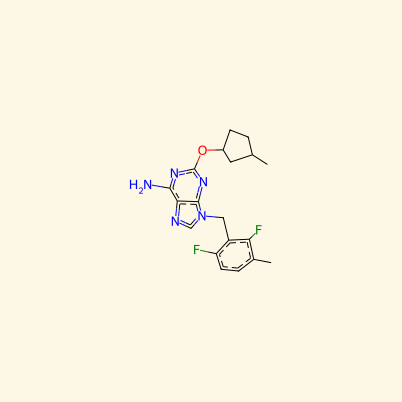 Cc1ccc(F)c(Cn2cnc3c(N)nc(OC4CCC(C)C4)nc32)c1F